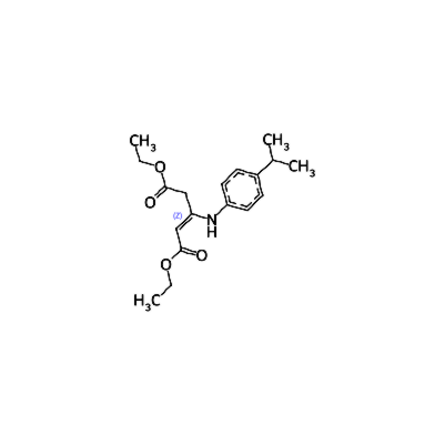 CCOC(=O)/C=C(/CC(=O)OCC)Nc1ccc(C(C)C)cc1